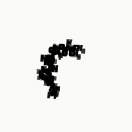 CC(C)NC(=O)O[C@@H]1CO[C@H](c2cc(Nc3nccc4nc(COC(F)(F)F)cn34)n[nH]2)[C@@H]1F